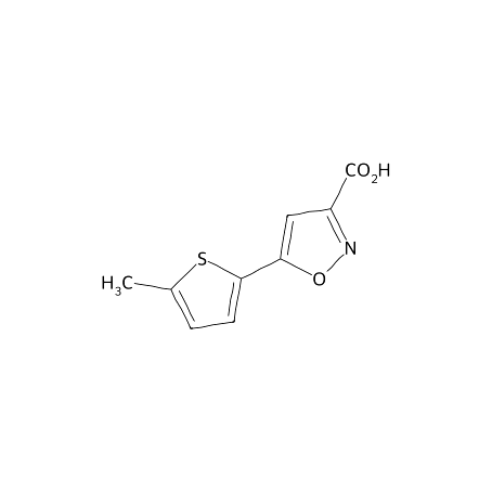 Cc1ccc(-c2cc(C(=O)O)no2)s1